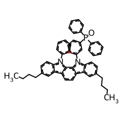 CCCCc1ccc2c(c1)c1ccc3c4cc(CCCC)ccc4n(-c4cccc(P(=O)(c5ccccc5)c5ccccc5)c4)c3c1n2-c1ccccc1